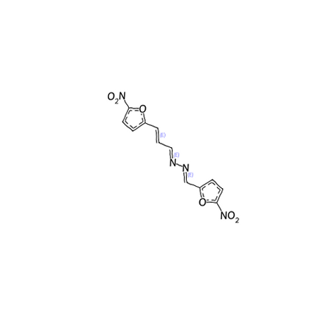 O=[N+]([O-])c1ccc(/C=C/C=N/N=C/c2ccc([N+](=O)[O-])o2)o1